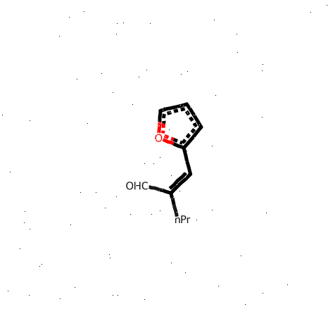 CCCC(C=O)=Cc1ccco1